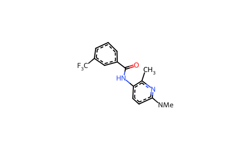 CNc1ccc(NC(=O)c2cccc(C(F)(F)F)c2)c(C)n1